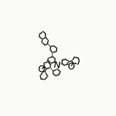 c1cc(-c2cccc(N(c3ccc4c(c3)oc3ccccc34)c3ccccc3-c3cccc4oc5ccccc5c34)c2)cc(-c2ccc3ccccc3c2)c1